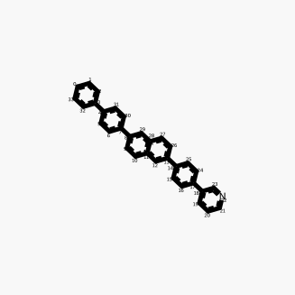 c1ccc(-c2ccc(-c3ccc4cc(-c5ccc(-c6cccnc6)cc5)ccc4c3)cc2)cc1